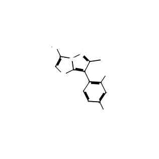 CCCc1coc2c(-c3ccc(Cl)cc3Cl)c(C)nn12